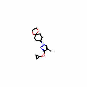 O=[N+]([O-])c1cn(C2CCC3(CC2)OCCO3)nc1OC1CC1